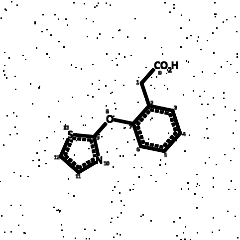 O=C(O)Cc1ccccc1Oc1nccs1